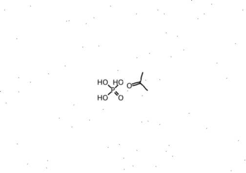 CC(C)=O.O=P(O)(O)O